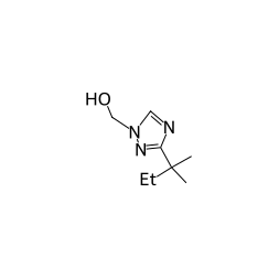 CCC(C)(C)c1ncn(CO)n1